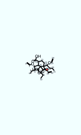 C=COC(CCC)C1C(C(=O)O)CCC(C(=O)O)(C(CCC)OC=C)C1(C(=O)O)C(CCC)OC=C